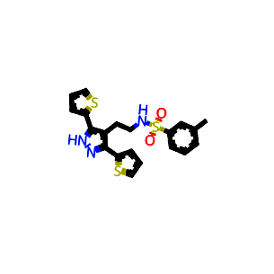 Cc1cccc(S(=O)(=O)NCCc2c(-c3cccs3)n[nH]c2-c2cccs2)c1